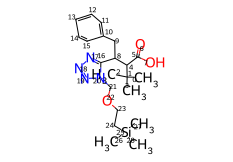 CC(C)(C)C(C(=O)O)C(Cc1ccccc1)c1nnnn1COCC[Si](C)(C)C